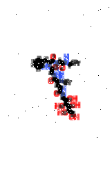 CC(C)CNC(=O)CNC(=O)[C@H](Cc1ccccc1)NC(=O)CNC(=O)[C@H](CCC(=O)NC[C@H](O)[C@@H](O)[C@H](O)[C@H](O)CO)NC(C)C